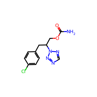 NC(=O)OCC(Cc1ccc(Cl)cc1)n1ncnn1